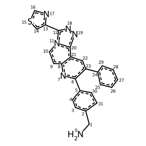 NCc1ccc(-c2nc3ccn4c(-c5cscn5)nnc4c3cc2-c2ccccc2)cc1